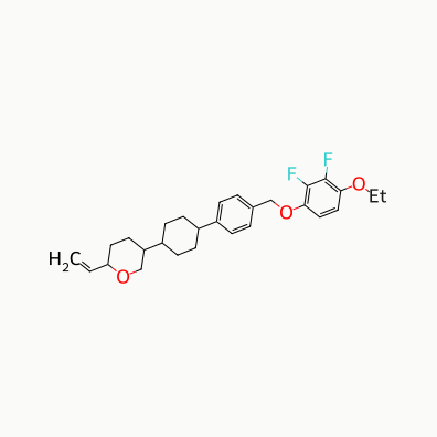 C=CC1CCC(C2CCC(c3ccc(COc4ccc(OCC)c(F)c4F)cc3)CC2)CO1